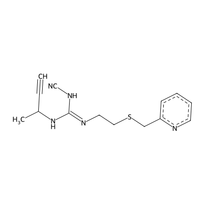 C#CC(C)N/C(=N/CCSCc1ccccn1)NC#N